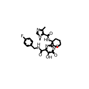 Cc1ncn(C)c1C(=O)NC12CCC(CC1)Cn1c2nc(C(=O)NCc2ccc(F)cc2)c(O)c1=O